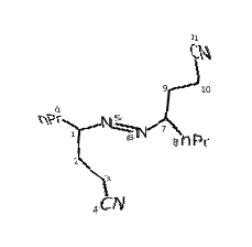 CCCC(CCC#N)N=NC(CCC)CCC#N